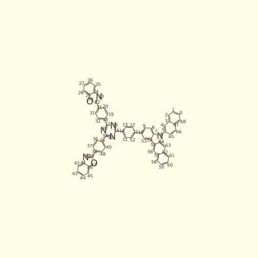 c1ccc2cc(-n3c4ccc(-c5ccc(-c6nc(-c7ccc(-c8nc9ccccc9o8)cc7)nc(-c7ccc(-c8nc9ccccc9o8)cc7)n6)cc5)cc4c4cc5ccccc5cc43)ccc2c1